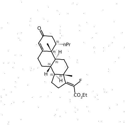 CCC[C@H]1CC(=O)C=C2CC[C@@H]3[C@H](CC[C@]4(C)C(=C(F)C(=O)OCC)CC[C@@H]34)[C@]21C